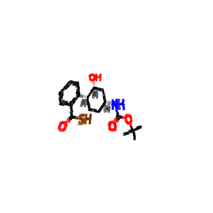 CC(C)(C)OC(=O)N[C@@H]1CC[C@H](c2ccccc2C(=O)S)[C@H](O)C1